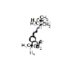 CC(C)(C)c1ccc(/C=C/CO[Si](C)(C)C(C)(C)C)cc1[N+](=O)[O-]